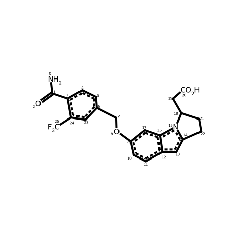 NC(=O)c1ccc(COc2ccc3cc4n(c3c2)C(CC(=O)O)CC4)cc1C(F)(F)F